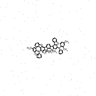 Cc1ccc(N(c2ccccc2)c2cc3c(c4c2oc2ccccc24)-c2ccc4c(c2[Si]3(C)C)[Si](C)(C)c2cc(N(c3ccccc3)c3ccc(C)cc3C)c3c(oc5ccccc53)c2-4)c(C)c1